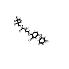 O=C(NCCOc1ccc(Oc2cccc(Cl)c2)cc1Cl)OCC(F)(F)C(F)(F)F